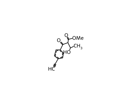 C#Cc1ccc(C(=O)C(C(=O)OC)C(C)O)cc1